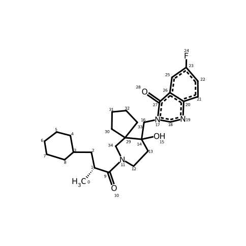 C[C@H](CC1CCCCC1)C(=O)N1CCC(O)(Cn2cnc3ccc(F)cc3c2=O)C2(CCCC2)C1